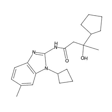 Cc1ccc2nc(NC(=O)CC(C)(O)C3CCCC3)n(C3CCC3)c2c1